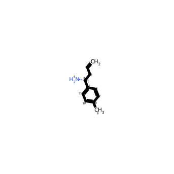 C=CC[C@@H](N)c1ccc(C)cc1